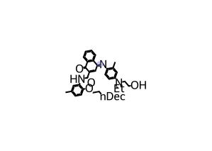 CCCCCCCCCCCCOc1ccc(C)cc1NC(=O)C1=C/C(=N\c2ccc(N(CC)CCO)cc2C)c2ccccc2C1=O